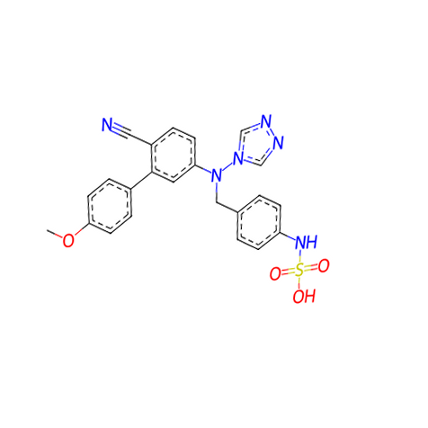 COc1ccc(-c2cc(N(Cc3ccc(NS(=O)(=O)O)cc3)n3cnnc3)ccc2C#N)cc1